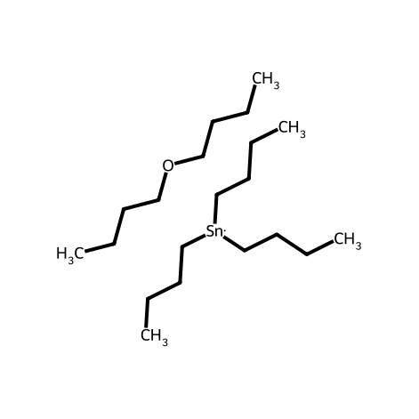 CCCCOCCCC.CCC[CH2][Sn]([CH2]CCC)[CH2]CCC